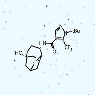 CC(C)(C)n1ncc(C(=O)N[C@H]2CC[C@]3(O)CC4CC(C3)C2C4)c1C(F)(F)F